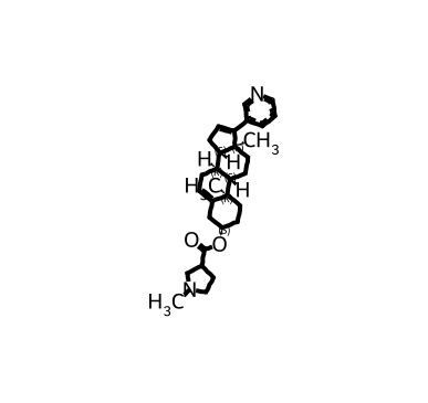 CN1CCC(C(=O)O[C@H]2CC[C@@]3(C)C(=CC[C@@H]4[C@@H]3CC[C@]3(C)C(c5cccnc5)=CC[C@@H]43)C2)C1